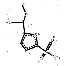 CCC(O)c1ccc(S(N)(=O)=O)s1